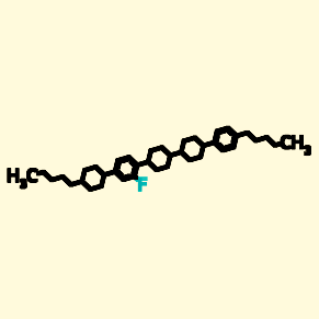 CCCCCc1ccc(C2CCC(C3CCC(c4ccc(C5CCC(CCCCC)CC5)cc4F)CC3)CC2)cc1